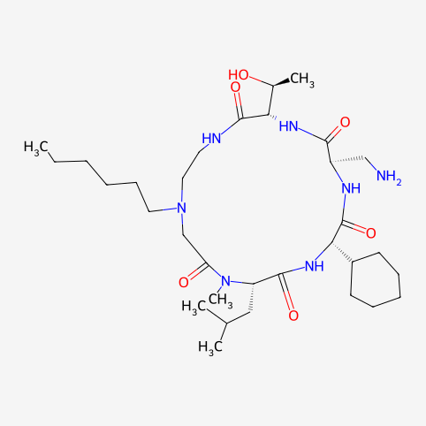 CCCCCCN1CCNC(=O)[C@H]([C@H](C)O)NC(=O)[C@H](CN)NC(=O)[C@H](C2CCCCC2)NC(=O)[C@H](CC(C)C)N(C)C(=O)C1